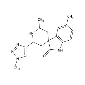 Cc1ccc2c(c1)C1(CC(C)NC(c3cn(C)nn3)C1)C(=O)N2